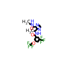 CCNC(=O)c1nccnc1C(C)NC(=O)c1cc(OCC(F)(F)F)cc(C(F)(F)F)c1